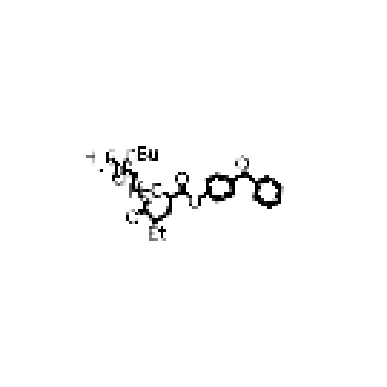 CCCC[N+](C)(C)CCOC(=O)C(CC)CC(C)C(=O)Oc1ccc(C(=O)c2ccccc2)cc1